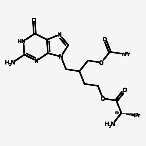 CCCC(=O)OCC(CCOC(=O)[C@@H](N)C(C)C)Cn1cnc2c(=O)[nH]c(N)nc21